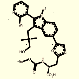 CCn1c(-c2cccnc2C(C)C)c(CC(C)(C)CO)c2cc(-c3cnc(C[C@H](NC(=O)OC(C)(C)C)C(=O)O)o3)ccc21